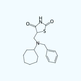 O=C1NC(=O)C(CN(Cc2ccccc2)C2CCCCCC2)S1